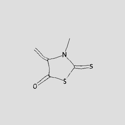 C=C1C(=O)SC(=S)N1C